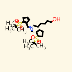 CC(C)(C)S(=O)(=O)C1=C(CN(CCCCCCO)C[C@@H]2CCCC2S(=O)(=O)C(C)(C)C)C=CC1